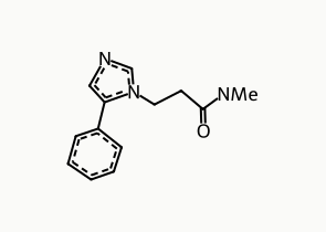 CNC(=O)CCn1cncc1-c1ccccc1